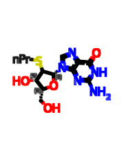 CCCSC1[C@@H](O)[C@@H](CO)O[C@H]1n1cnc2c(=O)[nH]c(N)nc21